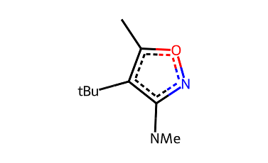 CNc1noc(C)c1C(C)(C)C